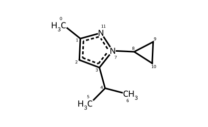 Cc1cc(C(C)C)n(C2CC2)n1